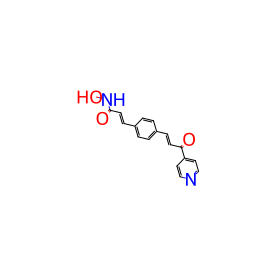 O=C(C=Cc1ccc(C=CC(=O)c2ccncc2)cc1)NO